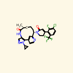 C[C@@H]1CCC[C@H](N2CCC(c3c(C(F)(F)F)ccc(Cl)c3F)=CC2=O)c2cc(ccn2)-c2c(cnn2C2CC2)NC1=O